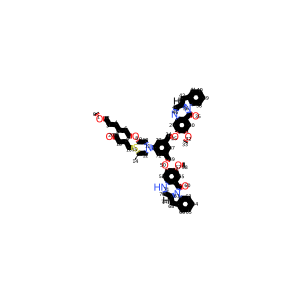 COCCCCCCOCCN(C[C@H](C)SCCCC=O)c1cc(COc2cc3c(cc2OC)C(=O)N2c4ccccc4C[C@H]2C=N3)cc(COc2cc3c(cc2OC)C(=O)N2c4ccccc4C[C@H]2CN3)c1